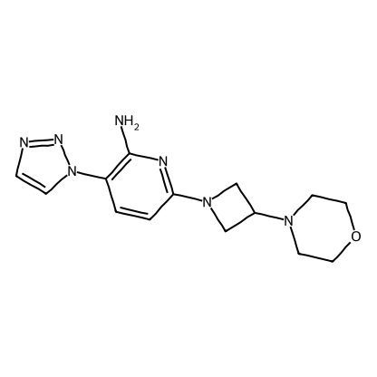 Nc1nc(N2CC(N3CCOCC3)C2)ccc1-n1ccnn1